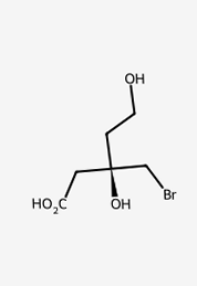 O=C(O)C[C@@](O)(CBr)CCO